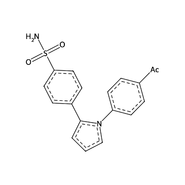 CC(=O)c1ccc(-n2cccc2-c2ccc(S(N)(=O)=O)cc2)cc1